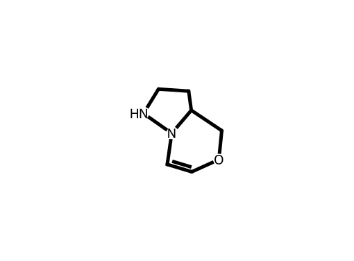 C1=CN2NCCC2CO1